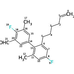 C=CCCCCc1cc(F)cc(C)c1-c1cc(C)c(F)c(C=O)c1